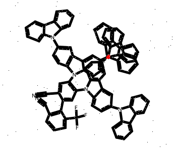 N#Cc1cc(-n2c3ccc(-n4c5ccccc5c5ccccc54)cc3c3cc(-n4c5ccccc5c5ccccc54)ccc32)c(-n2c3ccc(-n4c5ccccc5c5ccccc54)cc3c3cc(-n4c5ccccc5c5ccccc54)ccc32)cc1-c1c(C#N)cccc1C(F)(F)F